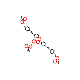 C=CC(=O)OCCc1ccc(C#Cc2ccc(COc3ccc(C#Cc4ccc(CCOC(=O)C=C)cc4)cc3C(=O)OCCOC(=O)C(=C)C)cc2)cc1